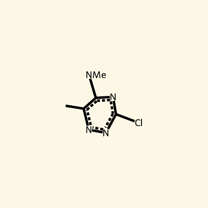 CNc1nc(Cl)nnc1C